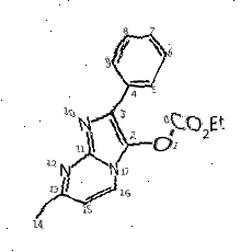 CCOC(=O)Oc1c(-c2ccccc2)nc2nc(C)ccn12